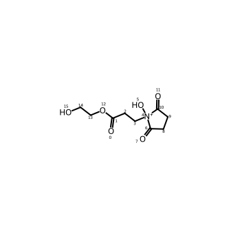 O=C(CC[N+]1(O)C(=O)CCC1=O)OCCO